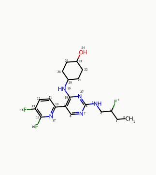 CCC(F)CNc1ncc(-c2ccc(F)c(F)n2)c(NC2CCC(O)CC2)n1